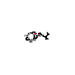 CC1(C)CCC2CCCNc3cccc(n3)S(=O)(=O)NC(=O)c3ccc(-n4ccc(OCC5C(C6CC6)C56CC6)n4)nc3N21